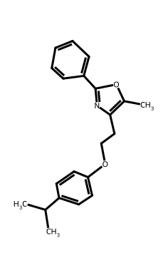 Cc1oc(-c2ccccc2)nc1CCOc1ccc(C(C)C)cc1